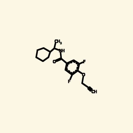 C#CCOc1c(F)cc(C(=O)NC(C)C2CCCCC2)cc1F